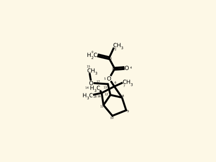 C=C(C)C(=O)OC1(C)C2CCC(C2COC)C1(C)C